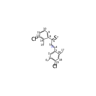 Cc1cc(/C=C/C(=S)c2cccc(Cl)c2C)c(C)cc1Cl